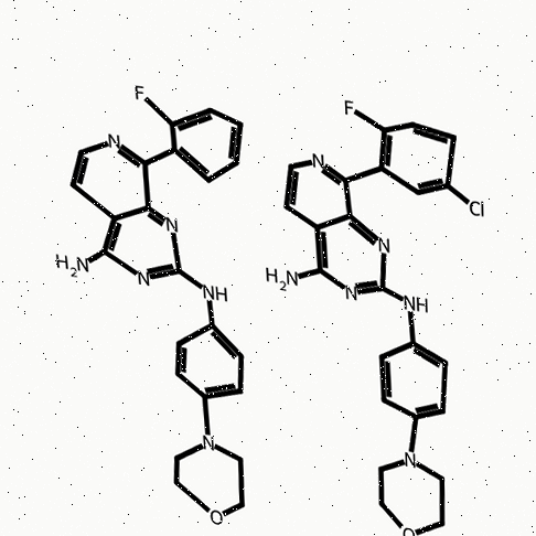 Nc1nc(Nc2ccc(N3CCOCC3)cc2)nc2c(-c3cc(Cl)ccc3F)nccc12.Nc1nc(Nc2ccc(N3CCOCC3)cc2)nc2c(-c3ccccc3F)nccc12